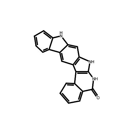 O=c1[nH]c2[nH]c3cc4[nH]c5ccccc5c4cc3c2c2ccccc12